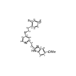 COc1ccc2[nH]c(SCc3cc(SCCc4ccc(F)cc4F)ccn3)nc2c1